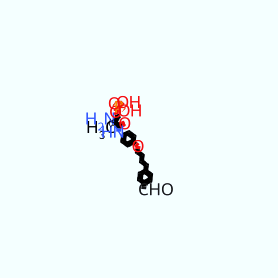 C[C@](N)(COP(=O)(O)O)C(=O)Nc1ccc(OCCCCc2ccc(C=O)cc2)cc1